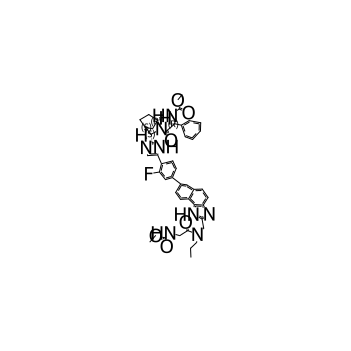 CCCN(Cc1nc2ccc3cc(-c4ccc(-c5cnc([C@@H]6[C@H]7CC[C@H](C7)N6C(=O)[C@H](NC(=O)OC)c6ccccc6)[nH]5)c(F)c4)ccc3c2[nH]1)C(=O)CNC(=O)OC